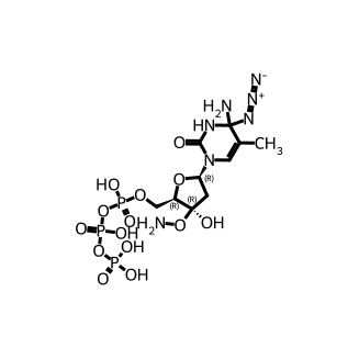 CC1=CN([C@H]2C[C@@](O)(ON)[C@@H](COP(=O)(O)OP(=O)(O)OP(=O)(O)O)O2)C(=O)NC1(N)N=[N+]=[N-]